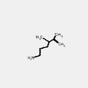 C=C(C)C(C)CCCN